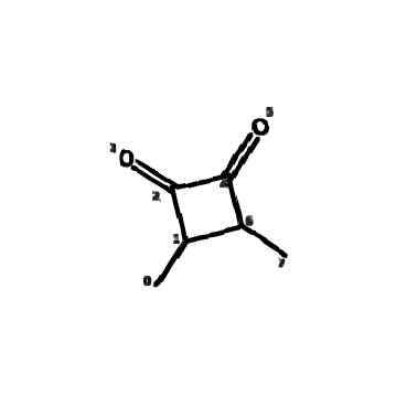 CC1C(=O)C(=O)C1C